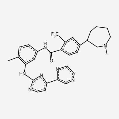 Cc1ccc(NC(=O)c2ccc(C3CCCCN(C)C3)cc2C(F)(F)F)cc1Nc1nccc(-c2cnccn2)n1